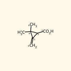 C=C1C(C(=O)O)C1(C)C